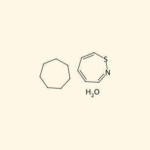 C1=CC=NSC=C1.C1CCCCCC1.O